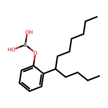 CCCCCCC(CCCC)c1ccccc1OB(O)O